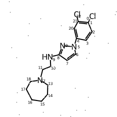 Clc1ccc(-n2ccc(NCCN3CCCCCC3)n2)cc1Cl